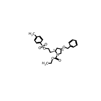 CCOC(=O)N1C[C@H](OCc2ccccc2)C[C@@H]1CCOS(=O)(=O)c1ccc(C)cc1